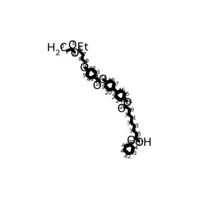 C=CC(=O)OC(CC)CCCOc1ccc(C(=O)Oc2ccc(-c3ccc(OC(=O)CCCCCCCC(O)Oc4ccccc4)cc3)cc2)cc1